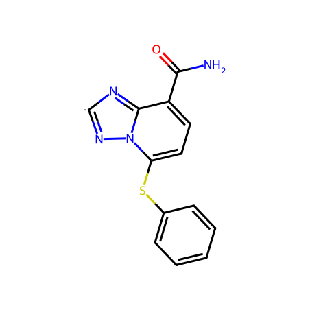 NC(=O)c1ccc(Sc2ccccc2)n2n[c]nc12